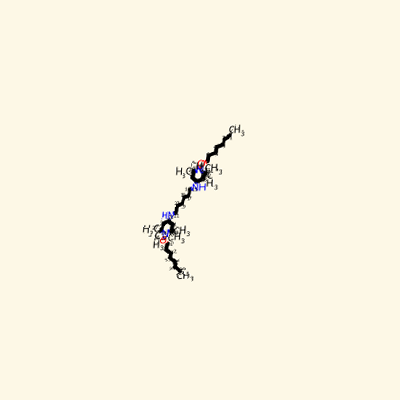 CCCCCCCCON1C(C)(C)CC(NCCCCCCNC2CC(C)(C)N(OCCCCCCCC)C(C)(C)C2)CC1(C)C